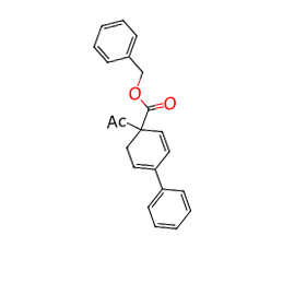 CC(=O)C1(C(=O)OCc2ccccc2)C=CC(c2ccccc2)=CC1